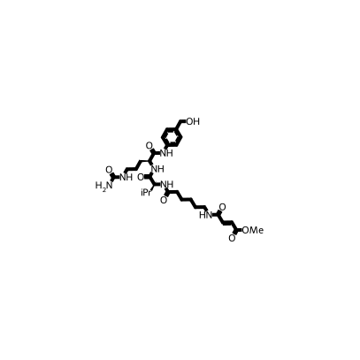 COC(=O)/C=C/C(=O)NCCCCCC(=O)N[C@H](C(=O)N[C@@H](CCCNC(N)=O)C(=O)Nc1ccc(CO)cc1)C(C)C